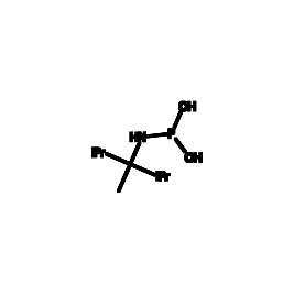 CC(C)C(C)(NP(O)O)C(C)C